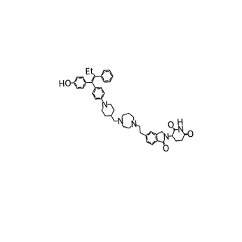 CCC(=C(c1ccc(O)cc1)c1ccc(N2CCC(CN3CCCN(CCc4ccc5c(c4)CN(C4CCC(=O)NC4=O)C5=O)CC3)CC2)cc1)c1ccccc1